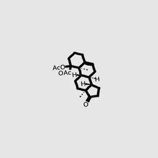 CC(=O)OC1(OC(C)=O)CCCC2=CC[C@@H]3[C@H](CC[C@]4(C)C(=O)CC[C@@H]34)[C@]21C